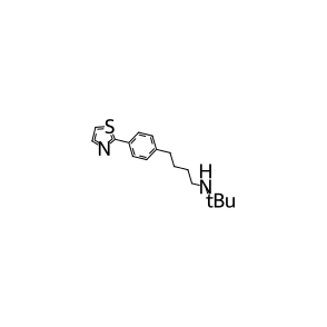 CC(C)(C)NCCCCc1ccc(-c2nccs2)cc1